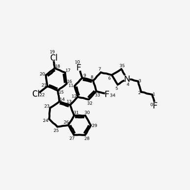 FCCCN1CC(Cc2c(F)cc(C3=C(c4ccc(Cl)cc4Cl)CCCc4ccccc43)cc2F)C1